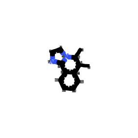 Cc1c(C)n2ccnc2c2ccccc12